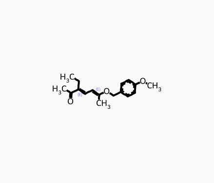 CC/C(=C\C=C(/C)OCc1ccc(OC)cc1)C(C)=O